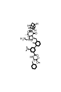 COC(=O)[C@H](Cc1ccccc1)NC(=O)c1cc(-c2cccc(CN3O[C@@H](CN)[C@@H]([C@H](C)O)[C@H]3C(=O)N[C@H]3C[C@H]4C[C@@H]([C@@H]3C)C4(C)C)c2C)cc(N(C)C)c1